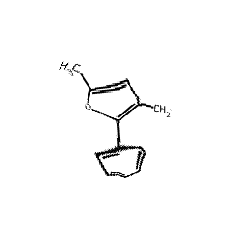 [CH2]c1cc(C)oc1-c1ccccc1